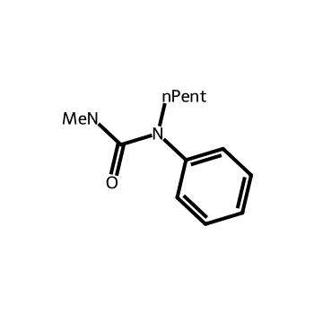 CCCCCN(C(=O)NC)c1ccccc1